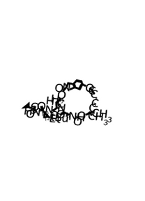 CC[C@H]1C[C@@]1(NC(=O)C1C[C@@H]2CN1C(=O)[C@H](C(C)(C)C)NC(=O)OCC(C)(C)CCCCCOc1ccc3c(c1)CN(C3)C(=O)O2)C(=O)NS(=O)(=O)C1CC1